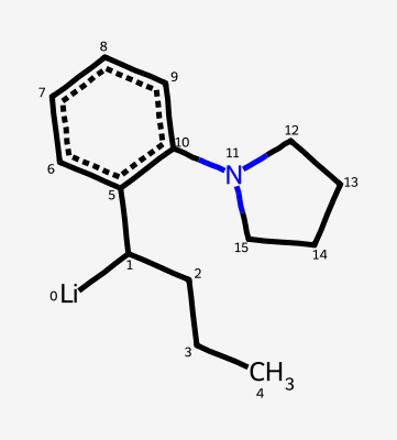 [Li][CH](CCC)c1ccccc1N1CCCC1